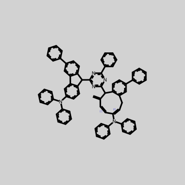 C=C1/C=C\C(N(c2ccccc2)c2ccccc2)=C/Cc2cc(-c3ccccc3)ccc2C1c1nc(-c2ccccc2)nc(C2c3ccc(-c4ccccc4)cc3-c3cc(N(c4ccccc4)c4ccccc4)ccc32)n1